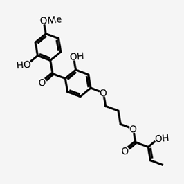 CC=C(O)C(=O)OCCCOc1ccc(C(=O)c2ccc(OC)cc2O)c(O)c1